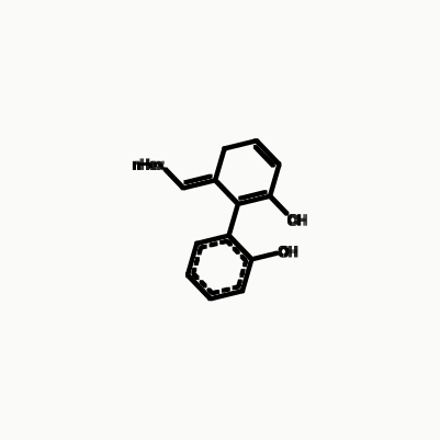 CCCCCCC=C1CC=CC(O)=C1c1ccccc1O